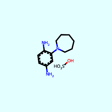 Nc1ccc(N)c(N2CCCCCC2)c1.O=S(=O)(O)O